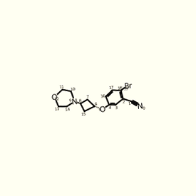 N#Cc1cc(O[C@H]2C[C@H](N3CCOCC3)C2)ccc1Br